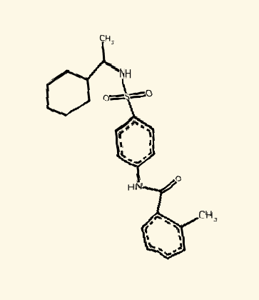 Cc1ccccc1C(=O)Nc1ccc(S(=O)(=O)NC(C)C2CCCCC2)cc1